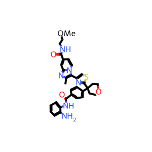 COCCNC(=O)c1ccn2c(-c3csc(C4(c5ccc(C(=O)Nc6ccccc6N)cc5)CCOCC4)n3)c(C)nc2c1